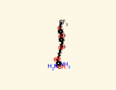 Nc1cc(C(=O)OCCCCCCOC(=O)/C=C/c2ccc(OC(=O)c3ccc(OCCCC(F)(F)F)cc3)cc2)cc(N)c1O